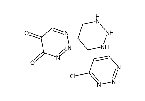 C1CNNNC1.Clc1ccnnn1.O=C1C=NN=NC1=O